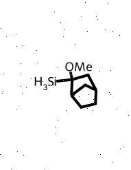 COC1([SiH3])CC2CCC1C2